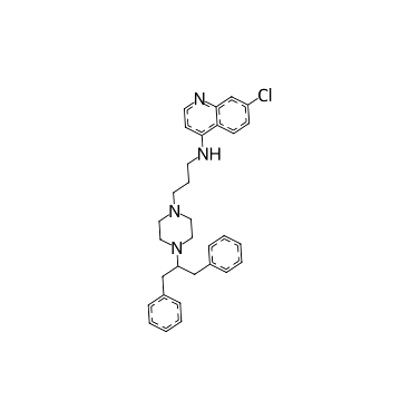 Clc1ccc2c(NCCCN3CCN(C(Cc4ccccc4)Cc4ccccc4)CC3)ccnc2c1